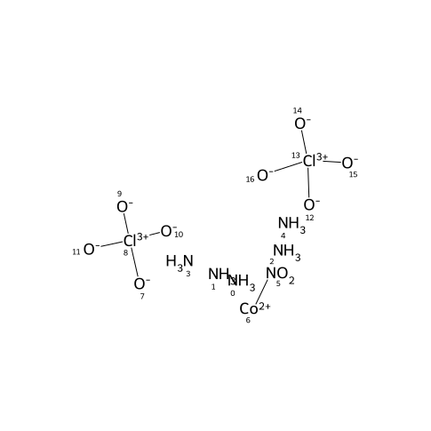 N.N.N.N.N.O=[N+]([O-])[Co+2].[O-][Cl+3]([O-])([O-])[O-].[O-][Cl+3]([O-])([O-])[O-]